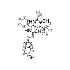 C=C(CCc1nc2ccc(C(C)C)cc2s1)N[C@H](CNC(=C)C(=C)CN1CCCC1)C1CCCCC1